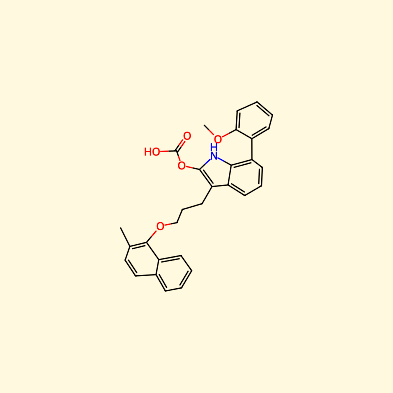 COc1ccccc1-c1cccc2c(CCCOc3c(C)ccc4ccccc34)c(OC(=O)O)[nH]c12